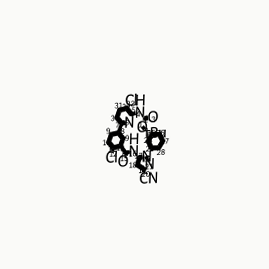 CC(C)(C)OC(=O)Nc1nc(-c2ccc(Cl)c(C(=O)Nc3cc(C#N)nn3-c3ccccc3)c2)ccc1Cl